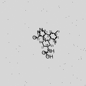 Cc1cc(F)cc(-c2cnnc(C=O)c2N2CCC(NC(=O)O)CC2)c1